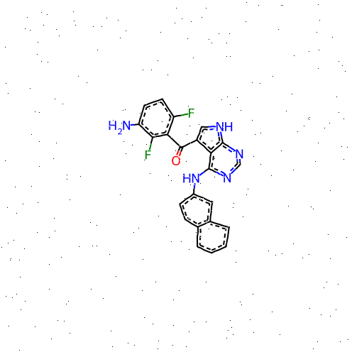 Nc1ccc(F)c(C(=O)c2c[nH]c3ncnc(Nc4ccc5ccccc5c4)c23)c1F